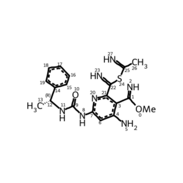 COC(=N)c1c(N)cc(NC(=O)N[C@H](C)c2ccccc2)nc1C(=N)SC(C)=N